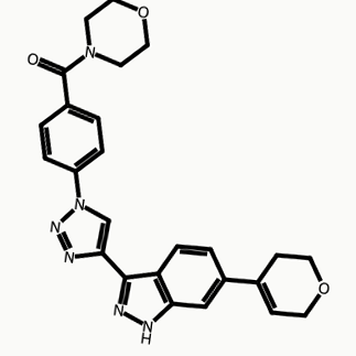 O=C(c1ccc(-n2cc(-c3n[nH]c4cc(C5=CCOCC5)ccc34)nn2)cc1)N1CCOCC1